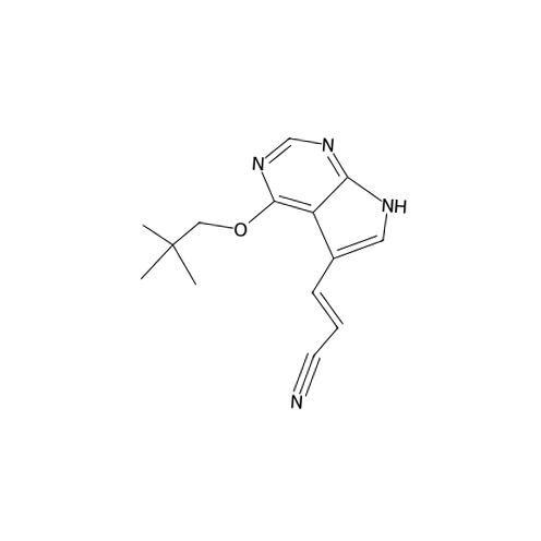 CC(C)(C)COc1ncnc2[nH]cc(C=CC#N)c12